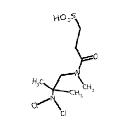 CN(CC(C)(C)N(Cl)Cl)C(=O)CCS(=O)(=O)O